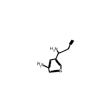 C#CCC(N)c1cncc(N)c1